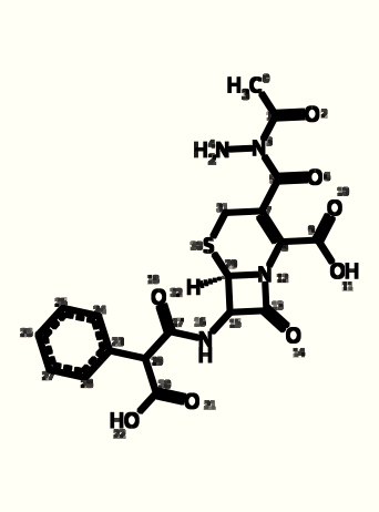 CC(=O)N(N)C(=O)C1=C(C(=O)O)N2C(=O)C(NC(=O)C(C(=O)O)c3ccccc3)[C@H]2SC1